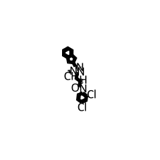 CCn1c(CCC(=O)Nc2ccc(Cl)cc2Cl)nnc1C1Cc2ccccc2C1